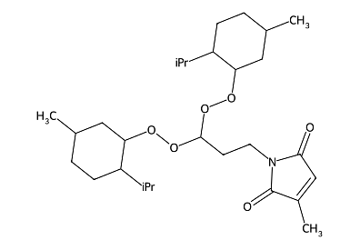 CC1=CC(=O)N(CCC(OOC2CC(C)CCC2C(C)C)OOC2CC(C)CCC2C(C)C)C1=O